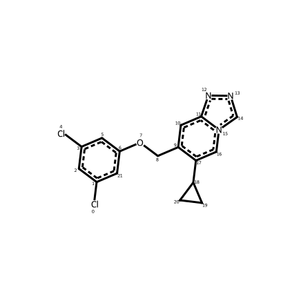 Clc1cc(Cl)cc(OCc2cc3nncn3cc2C2CC2)c1